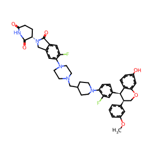 COc1cccc([C@@H]2COc3cc(O)ccc3[C@@H]2c2ccc(N3CCC(CN4CCN(c5cc6c(cc5F)C(=O)N([C@H]5CCC(=O)NC5=O)C6)CC4)CC3)c(F)c2)c1